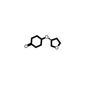 O=C1CCC(O[C@H]2CCOC2)CC1